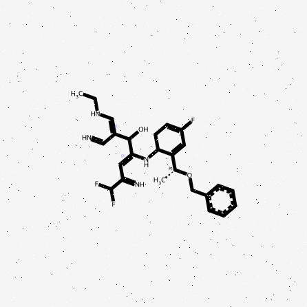 CCN/C=C(\C=N)C(O)/C(=C/C(=N)C(F)F)NC1CC=C(F)C=C1[C@@H](C)OCc1ccccc1